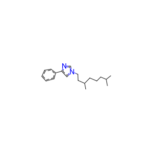 CC(C)CCCC(C)CCn1cnc(-c2ccccc2)c1